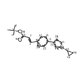 CC(C)(C)OC(=O)/C=C/c1ccc(-c2ccn(C3CC3)n2)cn1